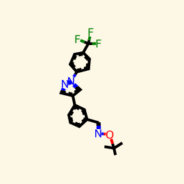 CC(C)(C)O/N=C/c1cccc(-c2cnn(-c3ccc(C(F)(F)F)cc3)c2)c1